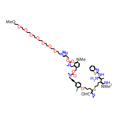 C=N/C(C=O)=C(/CCCOc1ccc(C#CCN(C)C(=O)OCc2ccc(NC)cc2CN(C)C(=O)OCc2cn(CCOCCOCCOCCOCCOCCOCCOCCOC)nn2)cc1F)SCCCC(=C(/N)NC)/C(C)=C(\N)Nc1nc2ccccc2s1